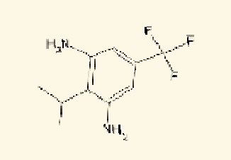 CC(C)c1c(N)cc(C(F)(F)F)cc1N